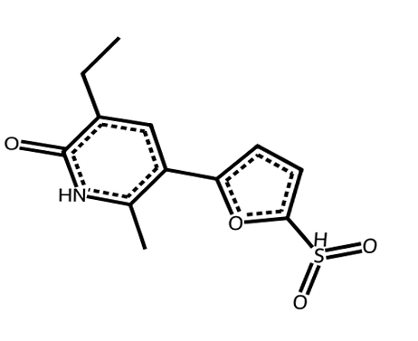 CCc1cc(-c2ccc([SH](=O)=O)o2)c(C)[nH]c1=O